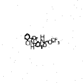 O=C(COC(F)(F)F)Nc1c(F)ccc(NC(=O)c2ccccc2Cl)c1F